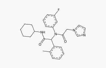 Cc1ccccc1C(C(=O)NC1CCCCC1)N(C(=O)Cn1ccnc1)c1cccc(F)c1